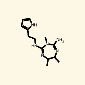 CC1N=C(N)N(C)C(NCCc2ccc[nH]2)=NC1C